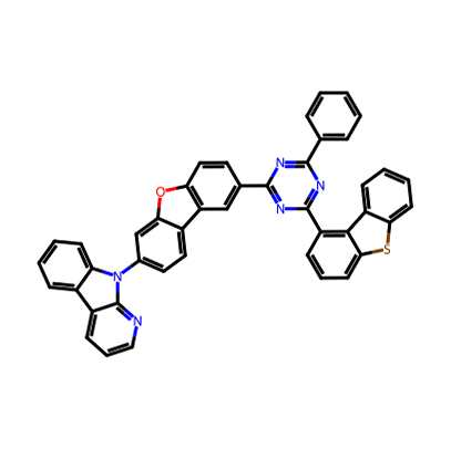 c1ccc(-c2nc(-c3ccc4oc5cc(-n6c7ccccc7c7cccnc76)ccc5c4c3)nc(-c3cccc4sc5ccccc5c34)n2)cc1